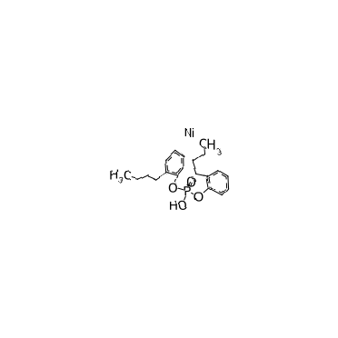 CCCCc1ccccc1OP(=O)(O)Oc1ccccc1CCCC.[Ni]